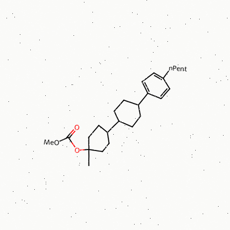 CCCCCc1ccc(C2CCC(C3CCC(C)(OC(=O)OC)CC3)CC2)cc1